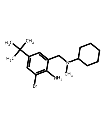 CN(Cc1cc(C(C)(C)C)cc(Br)c1N)C1CCCCC1